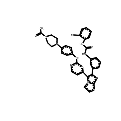 CC(=O)N1CCN(c2ccc(Nc3nccc(-c4c(-c5cccc(NC(=O)Nc6ccccc6Cl)c5)nc5sccn45)n3)cc2)CC1